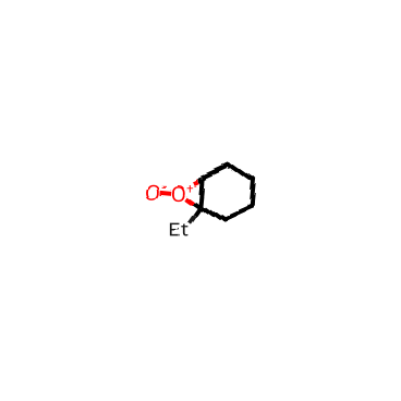 CCC12CCCCC1[O+]2[O-]